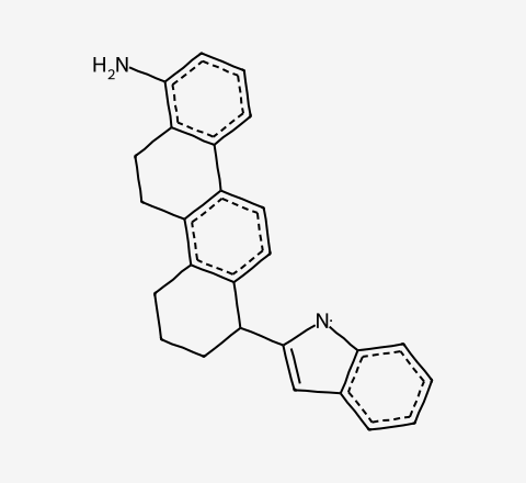 Nc1cccc2c1CCc1c-2ccc2c1CCCC2C1=Cc2ccccc2[N]1